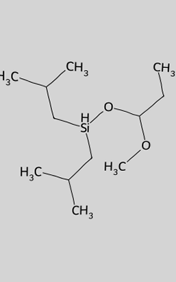 CCC(OC)O[SiH](CC(C)C)CC(C)C